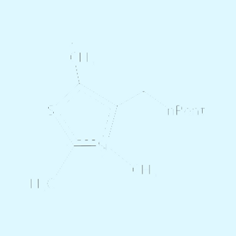 CCCCCCc1c(C)sc(C)[si]1C